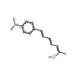 C/C(=C/C=C/C=C/c1ccc(N(C)C)cc1)C(=O)O